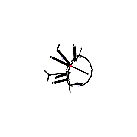 C/C=C1\NC(=O)[C@H]2CSSCC/C=C/[C@H](CC(=O)NCCN2)OC(=O)[C@H](C(C)C)NC1=O